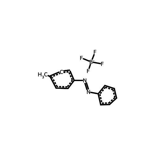 Cc1ccc(N=Nc2ccccc2)cc1.F[B-](F)(F)F